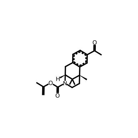 C=C(C)OC(=O)N1CC[C@@]2(C)c3cc(C(C)=O)ccc3C[C@@H]1C2(C)C